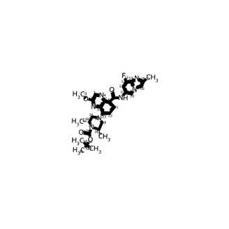 COc1cnc2c(C(=O)Nc3cc(F)c4nc(C)cn4c3)ccc(N3C[C@@H](C)N(C(=O)OC(C)(C)C)[C@@H](C)C3)c2n1